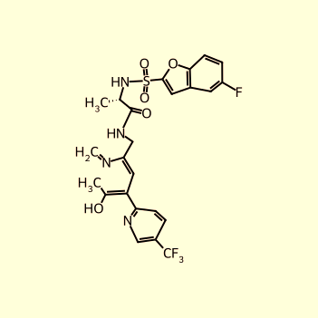 C=N/C(=C\C(=C(/C)O)c1ccc(C(F)(F)F)cn1)CNC(=O)[C@H](C)NS(=O)(=O)c1cc2cc(F)ccc2o1